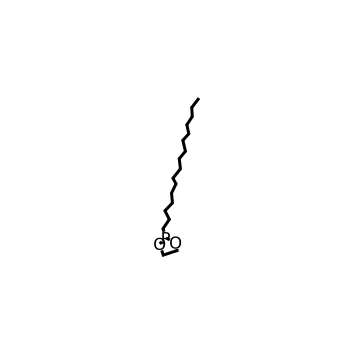 CCCCCCCCCCCCCCCCP1OCCO1